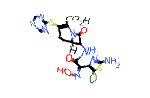 Nc1nc(/C(=N/O)C(=O)N[C@@H]2C(=O)N3C(C(=O)O)=C(Sc4ncncn4)CC[C@H]23)c(Cl)s1